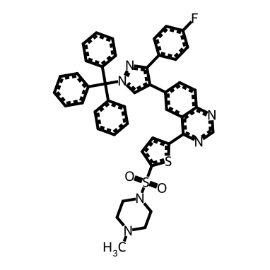 CN1CCN(S(=O)(=O)c2ccc(-c3ncnc4ccc(-c5cn(C(c6ccccc6)(c6ccccc6)c6ccccc6)nc5-c5ccc(F)cc5)cc34)s2)CC1